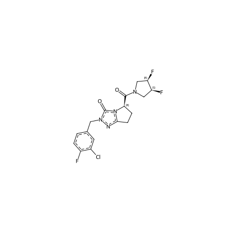 O=C([C@H]1CCc2nn(Cc3ccc(F)c(Cl)c3)c(=O)n21)N1C[C@@H](F)[C@@H](F)C1